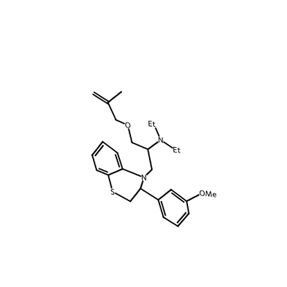 C=C(C)COCC(CN1c2ccccc2SCC1c1cccc(OC)c1)N(CC)CC